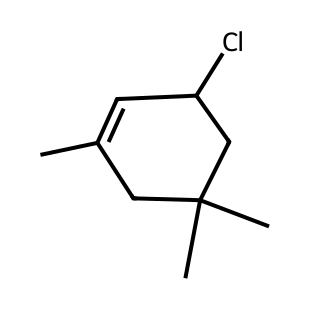 CC1=CC(Cl)CC(C)(C)C1